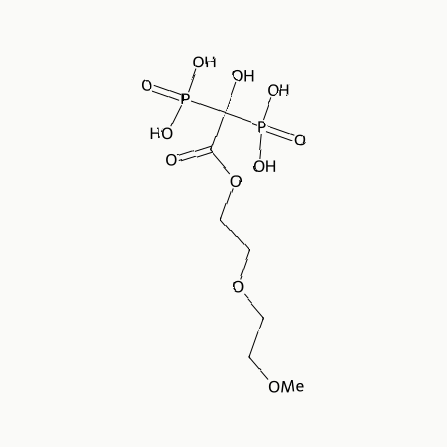 COCCOCCOC(=O)C(O)(P(=O)(O)O)P(=O)(O)O